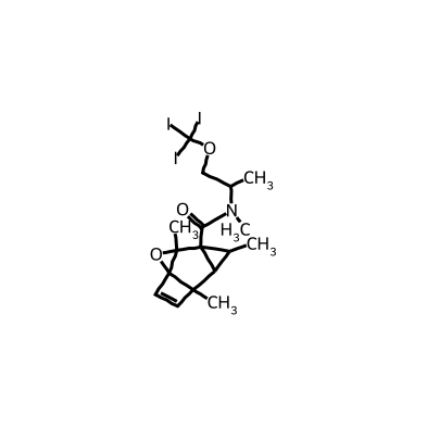 CC(COC(I)(I)I)N(C)C(=O)C12C(C)C1C1(C)C=CC13OC23C